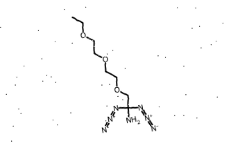 CCOCCOCCOCC(N)(N=[N+]=[N-])N=[N+]=[N-]